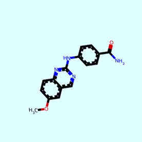 COc1ccc2nc(Nc3ccc(C(N)=O)cc3)ncc2c1